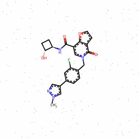 Cn1cc(-c2ccc(Cn3cc(C(=O)N[C@@H]4CC[C@H]4O)c4occc4c3=O)c(F)c2)cn1